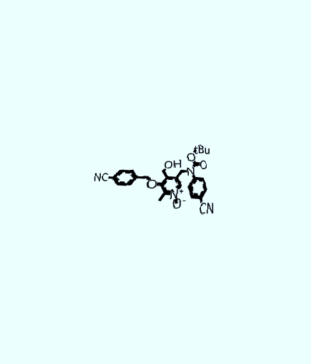 Cc1c(OCc2ccc(C#N)cc2)c(CO)c(CN(C(=O)OC(C)(C)C)c2ccc(C#N)cc2)c[n+]1[O-]